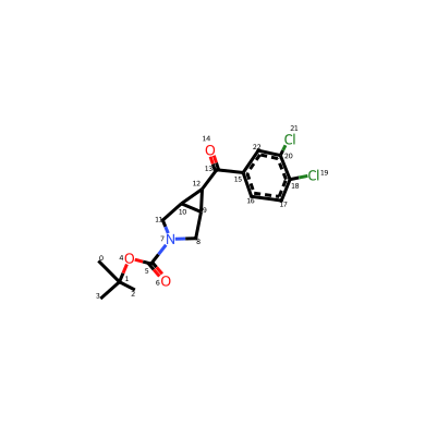 CC(C)(C)OC(=O)N1CC2C(C1)C2C(=O)c1ccc(Cl)c(Cl)c1